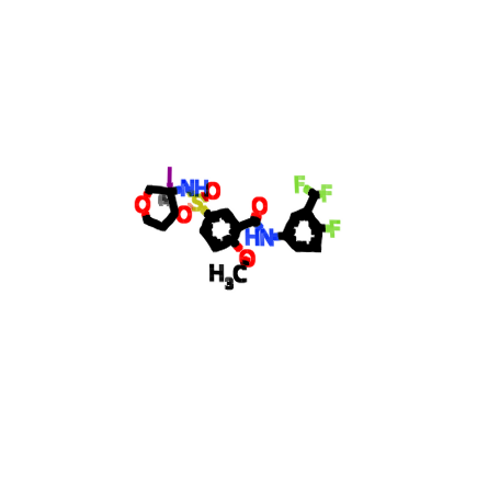 COc1ccc(S(=O)(=O)N[C@]2(I)CCCOC2)cc1C(=O)Nc1ccc(F)c(C(F)F)c1